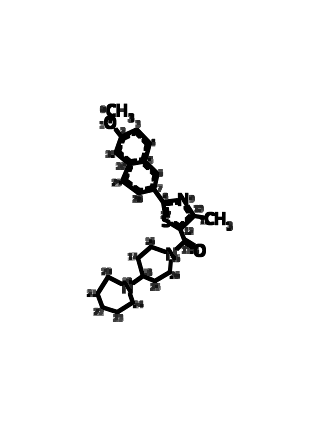 COc1ccc2cc(-c3nc(C)c(C(=O)N4CCC(N5CCCCC5)CC4)s3)ccc2c1